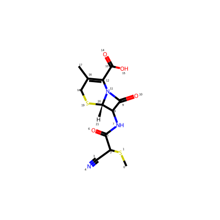 CSC(C#N)C(=O)NC1C(=O)N2C(C(=O)O)=C(C)CS[C@@H]12